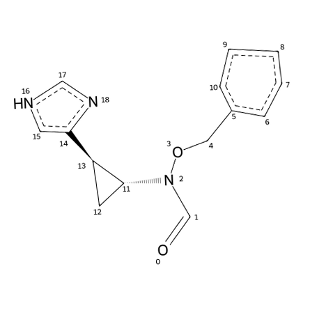 O=CN(OCc1ccccc1)[C@@H]1C[C@H]1c1c[nH]cn1